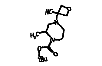 CC1CN(C2(C#N)COC2)CCN1C(=O)OC(C)(C)C